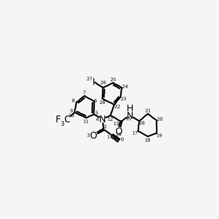 C#CC(=O)N(c1cccc(C(F)(F)F)c1)C(C(=O)NC1CCCCC1)c1cccc(I)c1